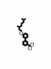 CC(C)CCCC(C)CCOc1cccc(-c2cccc(C(Cl)Cl)c2)c1